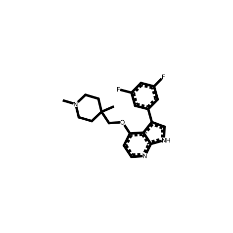 CN1CCC(C)(COc2ccnc3[nH]cc(-c4cc(F)cc(F)c4)c23)CC1